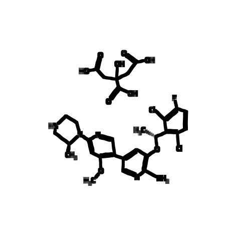 COc1cc(N2CCNC[C@@H]2C)ncc1-c1cnc(N)c(O[C@H](C)c2c(Cl)ccc(F)c2Cl)c1.O=C(O)CC(O)(CC(=O)O)C(=O)O